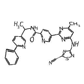 Cc1cc(Nc2nsc(C#N)n2)nc(-c2ccc(C(=O)NC(C)c3ccc(-c4ccccc4)nc3)nc2)n1